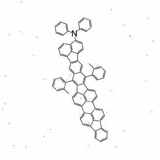 Cc1ccccc1-c1c2cc3c(cc2c(-c2ccccc2C)c2c4ccc5c6ccc7c8c(ccc(c9ccc(c12)c4c95)c86)-c1ccccc1-7)c1ccc(N(c2ccccc2)c2ccccc2)c2cccc3c21